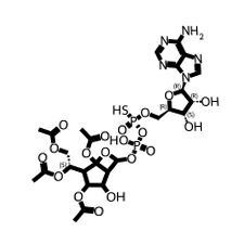 CC(=O)OC[C@@H](OC(C)=O)C1C(OC(C)=O)C(O)C2C(OP(=O)(O)OP(=O)(S)OC[C@H]3O[C@@H](n4cnc5c(N)ncnc54)[C@H](O)[C@@H]3O)OC21OC(C)=O